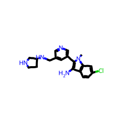 Cn1c(-c2cncc(CN[C@H]3CCNC3)c2)c(N)c2ccc(Cl)cc21